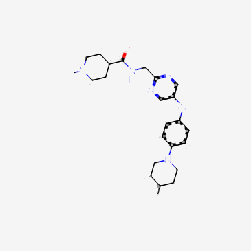 CN1CCC(C(=O)NCc2ncc(Nc3ccc(N4CCC(C(F)(F)F)CC4)cc3)cn2)CC1